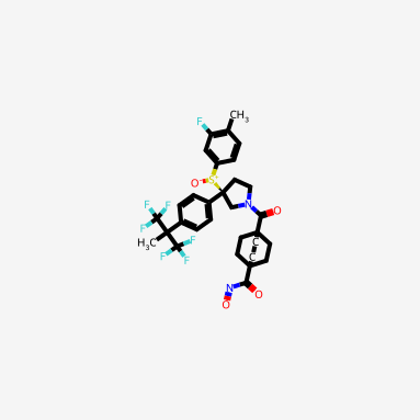 Cc1ccc([S+]([O-])[C@@]2(c3ccc(C(C)(C(F)(F)F)C(F)(F)F)cc3)CCN(C(=O)C34CCC(C(=O)N=O)(CC3)CC4)C2)cc1F